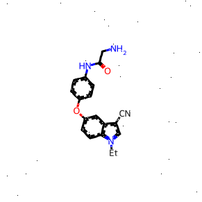 CCn1cc(C#N)c2cc(Oc3ccc(NC(=O)CN)cc3)ccc21